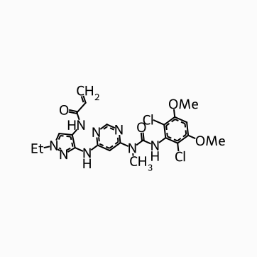 C=CC(=O)Nc1cn(CC)nc1Nc1cc(N(C)C(=O)Nc2c(Cl)c(OC)cc(OC)c2Cl)ncn1